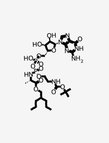 CCCC(CCC)COC(=O)[C@H](C)NP(=O)(OCCNC(=O)OC(C)(C)C)OP(=O)(O)OC[C@H]1O[C@@H](n2cnc3c(=O)[nH]c(N)nc32)[C@H](O)[C@@H]1O